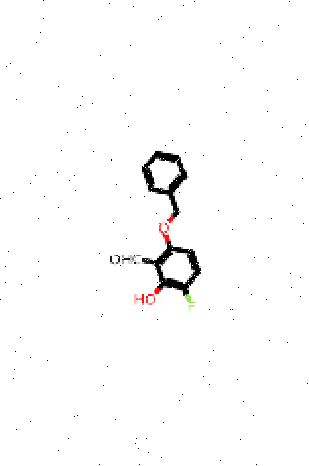 O=Cc1c(OCc2ccccc2)ccc(F)c1O